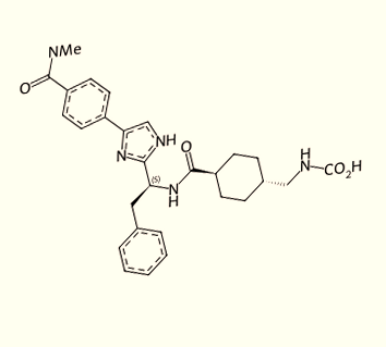 CNC(=O)c1ccc(-c2c[nH]c([C@H](Cc3ccccc3)NC(=O)[C@H]3CC[C@H](CNC(=O)O)CC3)n2)cc1